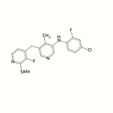 CSc1nccc(Cc2cncc(Nc3ccc(Cl)cc3F)c2C)c1F